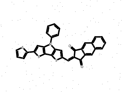 O=C1C(=Cc2cc3c(s2)c2sc(-c4cccs4)cc2n3-c2ccccc2)C(=O)c2cc3ccccc3cc21